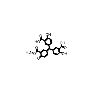 NOC(=O)C1=CC(=C(c2ccc(O)c(C(=O)O)c2)c2ccc(O)c(C(=O)O)c2)C=CC1=O